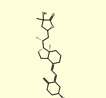 C=C1CC[C@H](O)C/C1=C/C=C1CCC[C@@]2(C)C1CC[C@@H]2[C@H](C)CC1CC(C)(O)C(=O)O1